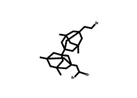 CC12CC3(C)CC(CCBr)(C1)CC(C14CC5(C)CC(C)(CC(CC(Br)Br)(C5)C1)C4)(C2)C3